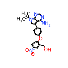 CC(C)n1cc(-c2ccc(Oc3ccc([N+](=O)[O-])cc3CO)cc2)c2c(N)ncnc21